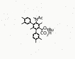 CC(=O)N(C)c1c(C)c(C(OC(C)(C)C)C(=O)O)c(-c2ccc(C)c(C)c2)c(C)c1-c1ccc(C)c(C)c1